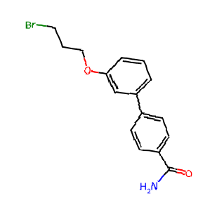 NC(=O)c1ccc(-c2cccc(OCCCBr)c2)cc1